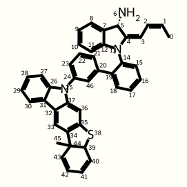 C/C=C\C=C1/[C@@H](N)c2ccccc2N1c1ccccc1-c1cccc(-n2c3ccccc3c3cc4c(cc32)SC2C=CC=CC42C)c1